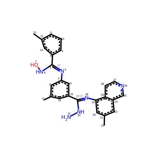 Cc1cc(/N=C(\NO)c2cccc(C)c2)cc(/C(=N/c2cc(C)cc3cnccc23)NN)c1